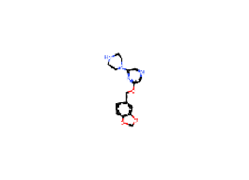 c1cc2c(cc1COc1cncc(N3CCNCC3)n1)OCO2